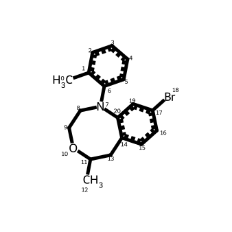 Cc1ccccc1N1CCOC(C)Cc2ccc(Br)cc21